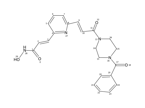 O=C(C=Cc1cccc(C=CC(=O)N2CCN(C(=O)c3ccccc3)CC2)n1)NO